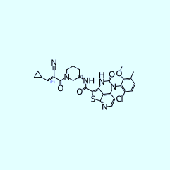 COc1c(C)ccc(Cl)c1N1C(=O)Nc2c(C(=O)N[C@@H]3CCCN(C(=O)/C(C#N)=C/C4CC4)C3)sc3nccc1c23